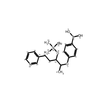 CC(Oc1ccc(B(O)O)cc1)C(CCc1cccnc1)O[Si](C)(C)C(C)(C)C